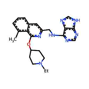 CCN1CCC(Oc2nc(CNc3ncnc4[nH]cnc34)cc3cccc(C)c23)CC1